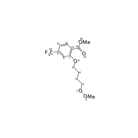 COOCCCCOc1cc(C(F)(F)F)ccc1C(=O)OC